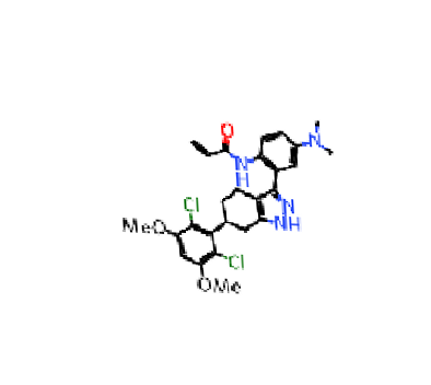 C=CC(=O)Nc1ccc(N(C)C)cc1-c1n[nH]c2c1CCC(c1c(Cl)c(OC)cc(OC)c1Cl)C2